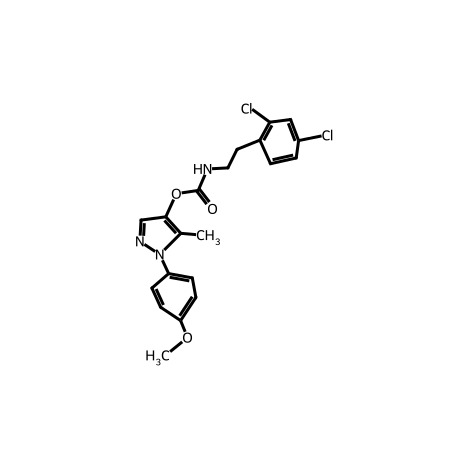 COc1ccc(-n2ncc(OC(=O)NCCc3ccc(Cl)cc3Cl)c2C)cc1